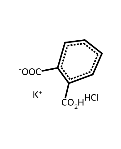 Cl.O=C([O-])c1ccccc1C(=O)O.[K+]